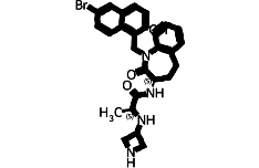 C[C@H](NC1CNC1)C(=O)N[C@H]1CCc2ccc#cc2N(Cc2c(O)ccc3cc(Br)ccc23)C1=O